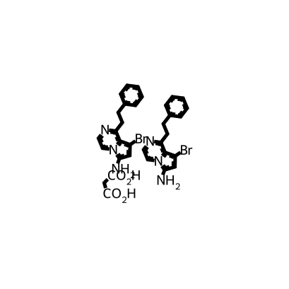 Nc1cc(Br)c2c(CCc3ccccc3)nccn12.Nc1cc(Br)c2c(CCc3ccccc3)nccn12.O=C(O)CC(=O)O